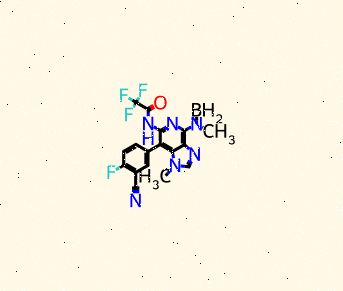 BN(C)c1nc(NC(=O)C(F)(F)F)c(-c2ccc(F)c(C#N)c2)c2c1ncn2C